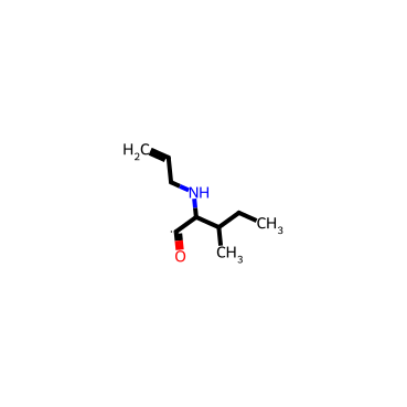 C=CCNC([C]=O)C(C)CC